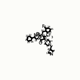 Cc1c(N2CCN(Cc3cncs3)CC2)c(=O)n(CC(N)c2ccccc2)c(=O)n1Cc1c(F)cccc1C(F)(F)F